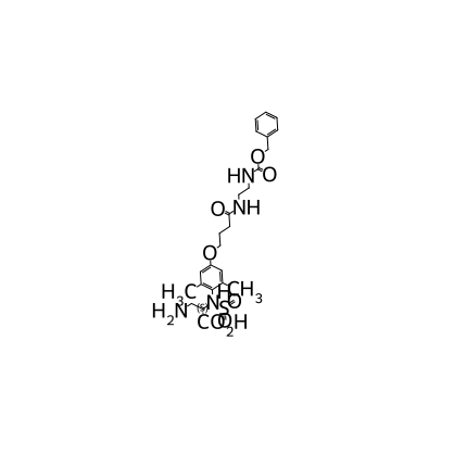 Cc1cc(OCCCC(=O)NCCNC(=O)OCc2ccccc2)cc(C)c1N([C@@H](CN)C(=O)O)[SH](=O)=O